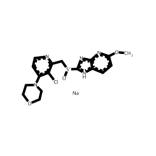 COc1ccc2[nH]c([S+]([O-])Cc3nccc(N4CCOCC4)c3Cl)nc2n1.[Na]